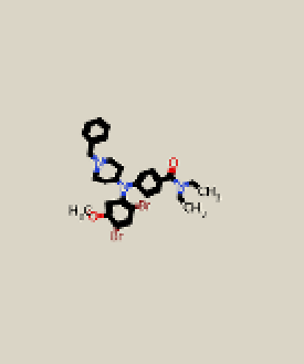 CCN(CC)C(=O)c1ccc(N(c2cc(OC)c(Br)cc2Br)C2CCN(Cc3ccccc3)CC2)cc1